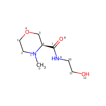 CN1CCOC[C@H]1C(=O)NCCO